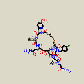 CC[C@H](C)[C@@H]1NC(=O)[C@H](Cc2ccc(O)cc2)NC(=O)CCSSC[C@@H](C(=O)N(CC(=O)N[C@@H](CC(C)C)C(=O)NCC(N)=O)Cc2ccc(F)cc2)NN[C@@H](CC(N)=O)C(=O)C(=O)[C@H](CCC(N)=O)NC1=O